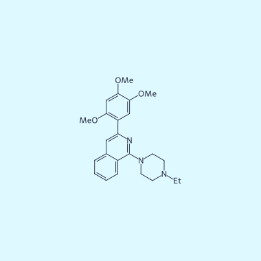 CCN1CCN(c2nc(-c3cc(OC)c(OC)cc3OC)cc3ccccc23)CC1